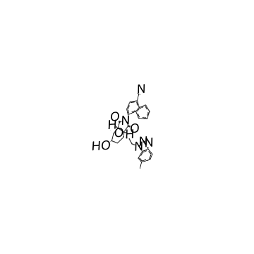 Cc1ccc2nnn(CC[C@]34C[C@H](O)[C@](C)(O3)[C@@H]3C(=O)N(c5ccc(C#N)c6ccccc56)C(=O)[C@@H]34)c2c1